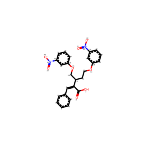 O=C(O)C(=Cc1ccccc1)C(CCOc1cccc([N+](=O)[O-])c1)COc1cccc([N+](=O)[O-])c1